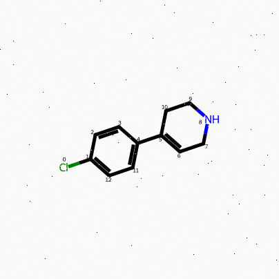 Clc1ccc(C2=CCN[C]C2)cc1